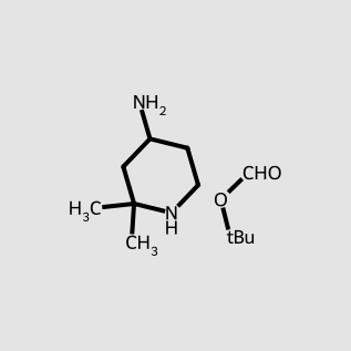 CC(C)(C)OC=O.CC1(C)CC(N)CCN1